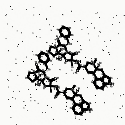 CN1C[C@H](C(=O)N[C@]2(C)O[C@@]3(O)[C@@H]4CCCN4C(=O)[C@H](Cc4ccccc4)N3C2=O)C=C2c3cccc4[nH]cc(c34)C[C@H]21.CN1C[C@H](C(=O)N[C@]2(C)O[C@@]3(O)[C@@H]4CCCN4C(=O)[C@H](Cc4ccccc4)N3C2=O)C=C2c3cccc4[nH]cc(c34)C[C@H]21